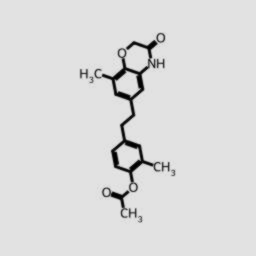 CC(=O)Oc1ccc(CCc2cc(C)c3c(c2)NC(=O)CO3)cc1C